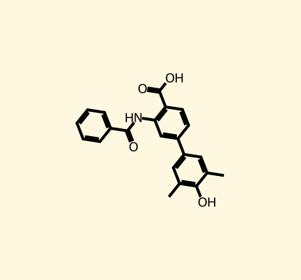 Cc1cc(-c2ccc(C(=O)O)c(NC(=O)c3ccccc3)c2)cc(C)c1O